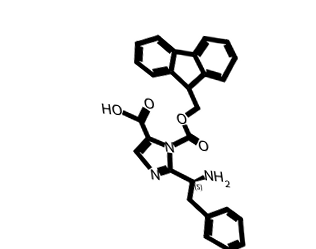 N[C@@H](Cc1ccccc1)c1ncc(C(=O)O)n1C(=O)OCC1c2ccccc2-c2ccccc21